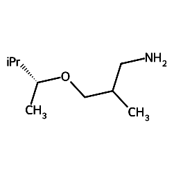 CC(CN)CO[C@H](C)C(C)C